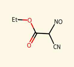 CCOC(=O)C(C#N)N=O